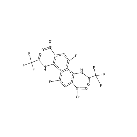 O=C(Nc1c([N+](=O)[O-])cc(F)c2c(NC(=O)C(F)(F)F)c([N+](=O)[O-])cc(F)c12)C(F)(F)F